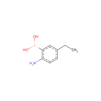 CCc1ccc(N)c(B(O)O)c1